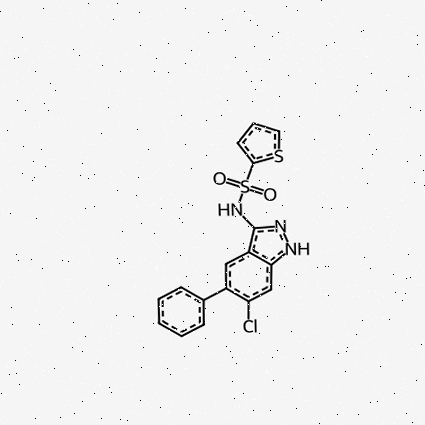 O=S(=O)(Nc1n[nH]c2cc(Cl)c(-c3ccccc3)cc12)c1cccs1